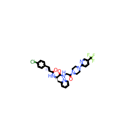 O=C(/C=C/c1ccc(Cl)cc1)N[C@@H](Cc1ccccn1)C(=O)NCC(=O)N1CCN(c2ccc(C(F)(F)F)cn2)CC1